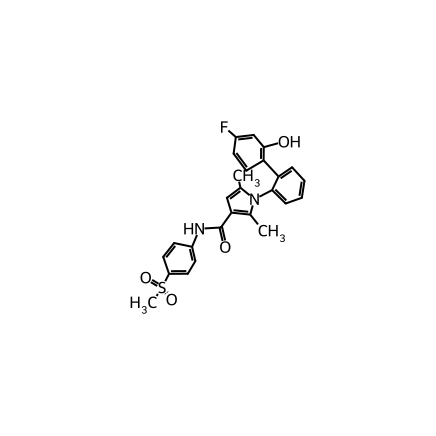 Cc1cc(C(=O)Nc2ccc(S(C)(=O)=O)cc2)c(C)n1-c1ccccc1-c1ccc(F)cc1O